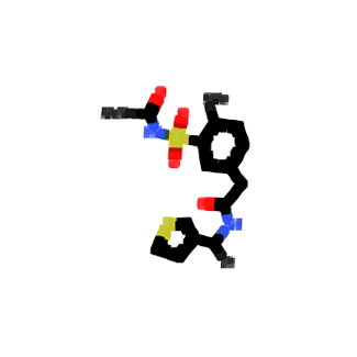 CCC(NC(=O)Cc1ccc(SC)c(S(=O)(=O)NC(=O)NC)c1)c1ccsc1